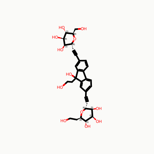 OCC[C@H]1O[C@H](C#Cc2ccc3c(c2)C(O)(CCO)c2cc(C#C[C@H]4O[C@H](CO)[C@@H](O)[C@H](O)[C@@H]4O)ccc2-3)[C@@H](O)[C@@H](O)[C@@H]1O